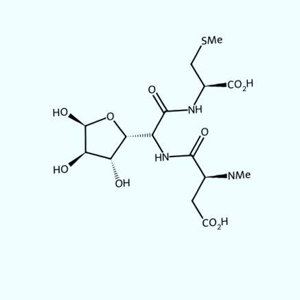 CN[C@@H](CC(=O)O)C(=O)NC(C(=O)N[C@@H](CSC)C(=O)O)[C@H]1O[C@H](O)[C@H](O)[C@H]1O